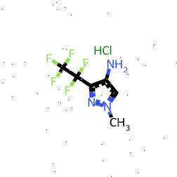 Cl.Cn1cc(N)c(C(F)(F)C(F)(F)F)n1